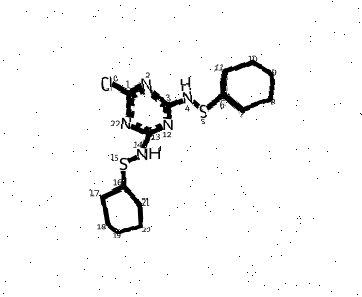 Clc1nc(NSC2CCCCC2)nc(NSC2CCCCC2)n1